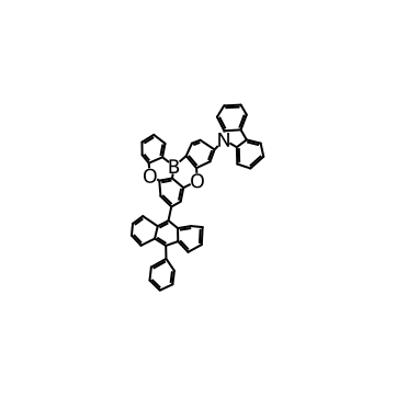 c1ccc(-c2c3ccccc3c(-c3cc4c5c(c3)Oc3cc(-n6c7ccccc7c7ccccc76)ccc3B5c3ccccc3O4)c3ccccc23)cc1